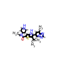 CCN(C(=O)c1cc2[nH]c(-c3cc(C)c4ncnn4c3)c(C(C)C)c2s1)C1CCNCC1